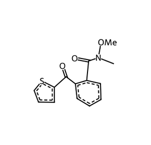 CON(C)C(=O)c1ccccc1C(=O)c1cccs1